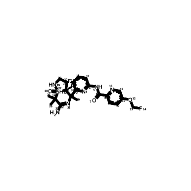 CC1(c2nc(NC(=O)c3ccc(OCF)cn3)ccc2F)N=C(N)C(C)(C)[SH]2(=O)NCC[C@H]12